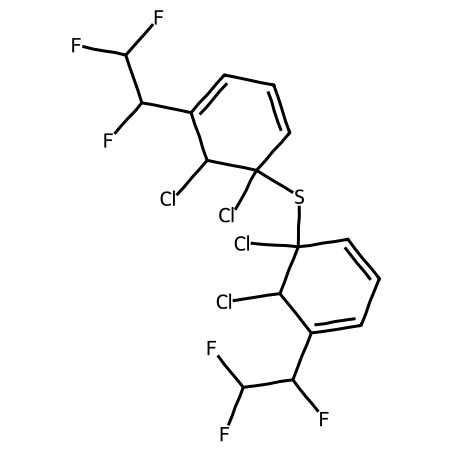 FC(F)C(F)C1=CC=CC(Cl)(SC2(Cl)C=CC=C(C(F)C(F)F)C2Cl)C1Cl